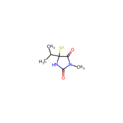 CC(C)C1(S)NC(=O)N(C)C1=O